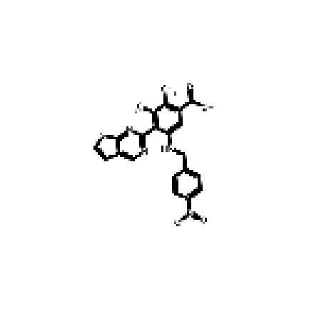 Cc1c(C(=O)O)cc(NCc2ccc([N+](=O)[O-])cc2)c(-c2ncc3ccsc3n2)c1C